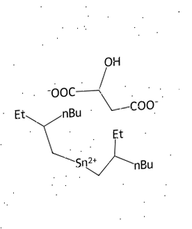 CCCCC(CC)[CH2][Sn+2][CH2]C(CC)CCCC.O=C([O-])CC(O)C(=O)[O-]